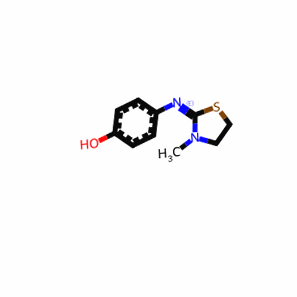 CN1CCS/C1=N/c1ccc(O)cc1